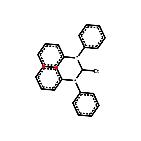 CCC(P(c1ccccc1)c1ccccc1)P(c1ccccc1)c1ccccc1